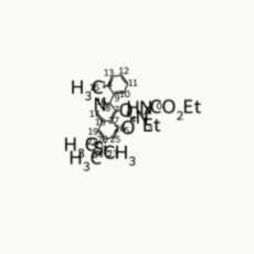 CCOC(=O)NN(CC)C(=O)Oc1c(-c2ccccc2C)ncc2cc([Si](C)(C)C)ccc12